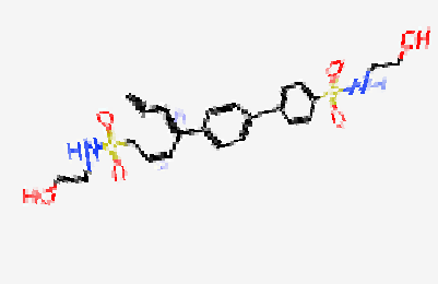 C=C/C=C(\C=C/CS(=O)(=O)NCCO)c1ccc(-c2ccc(S(=O)(=O)NCCO)cc2)cc1